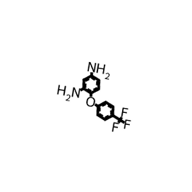 Nc1ccc(Oc2ccc(C(F)(F)F)cc2)c(N)c1